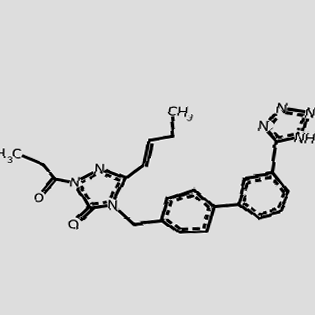 CC/C=C/c1nn(C(=O)CC)c(=O)n1Cc1ccc(-c2cccc(-c3nnn[nH]3)c2)cc1